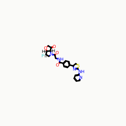 O=C(NCC(=O)N1C[C@H](F)[C@H]2OCC(=O)[C@H]21)c1ccc(C2CSC(Nc3ccccn3)=N2)cc1